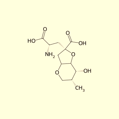 C[C@@H]1COC2C[C@@](C[C@H](N)C(=O)O)(C(=O)O)OC2[C@@H]1O